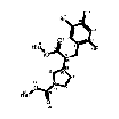 CC(C)(C)OC(=O)[C@@H](Cc1cc(Br)c(F)cc1F)[C@H]1CCN(C(=O)OC(C)(C)C)C1